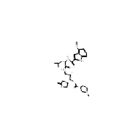 COc1cccc2[nH]c(C(=O)N[C@@H](CC(C)C)C(=O)N[C@@H](C[C@@H]3CCNC3=O)C(=O)COC(=O)[C@H]3CCN(C)C3)cc12